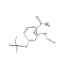 CC(C)(C)Oc1ccc(C(N)=O)c(NC=O)c1